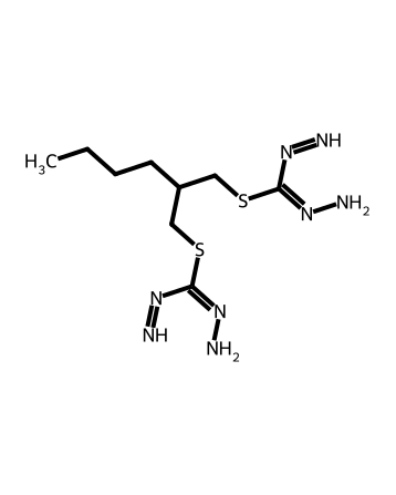 CCCCC(CSC(N=N)=NN)CSC(N=N)=NN